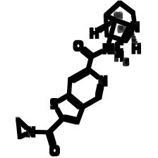 C[C@H]1[C@H](NC(=O)c2cc3sc(C(=O)N4CC4)cc3cn2)C2CCN1CC2